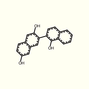 Oc1ccc2cc(O)c(-c3ccc4ccccc4c3O)cc2c1